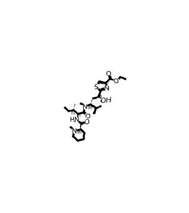 CCOC(=O)c1csc([C@H](O)C[C@H](C(C)C)N(C)C(=O)[C@@H](NC(=O)[C@H]2CCCCN2C)[C@@H](C)CC)n1